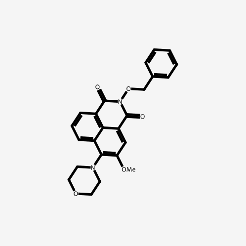 COc1cc2c3c(cccc3c1N1CCOCC1)C(=O)N(OCc1ccccc1)C2=O